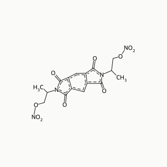 CC(CO[N+](=O)[O-])n1c(=O)c2cc3c(=O)n(C(C)CO[N+](=O)[O-])c(=O)c3cc2c1=O